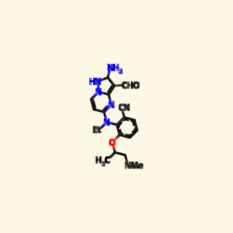 CCN(C1=NC2=C(C=O)C(N)NN2C=C1)c1c(C#N)cccc1OC(C)CNC